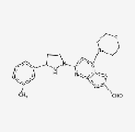 Cc1cccc(C2C=CN(c3cc(N4CCOCC4)n4nc(C=O)cc4n3)N2)c1